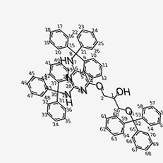 OC(COc1cc(NC(c2ccccc2)(c2ccccc2)c2ccccc2)nc(NC(c2ccccc2)(c2ccccc2)c2ccccc2)n1)COC(c1ccccc1)(c1ccccc1)c1ccccc1